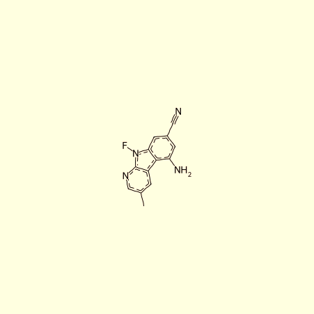 Cc1cnc2c(c1)c1c(N)cc(C#N)cc1n2F